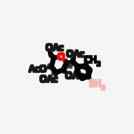 Bc1ccc(C(OC(C)=O)[C@H]2OC(COC(C)=O)[C@@H](OC(C)=O)[C@H](OC(C)=O)C2OC(C)=O)c(C)c1